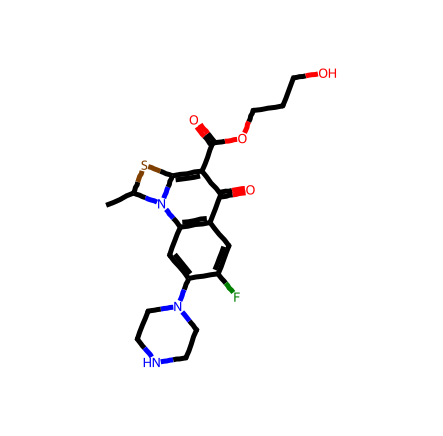 CC1Sc2c(C(=O)OCCCO)c(=O)c3cc(F)c(N4CCNCC4)cc3n21